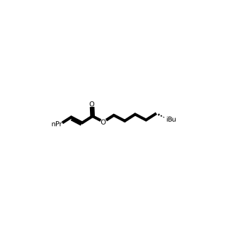 CCC/C=C/C(=O)OCCCCC[C@@H](C)CC